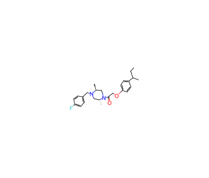 CCC(C)c1ccc(OCC(=O)N2C[C@H](C)N(Cc3ccc(F)cc3)C[C@H]2C)cc1